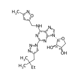 CCC(C)(C)Cc1cn(-c2nc(NCc3cc(C)no3)c3ncn([C@@H]4OC[C@@H](O)[C@H]4O)c3n2)nn1